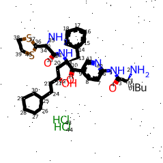 CC[C@H](C)[C@H](N)C(=O)Nc1ccc(C(=O)[C@](Cc2ccccc2)(CC(O)CCC2CCCCC2)NC(=O)[C@@H](N)C2SCCS2)cn1.Cl.Cl